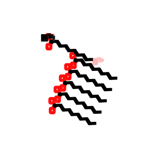 CCCCCCCCCC(=O)[O-].CCCCCCCCCC(=O)[O-].CCCCCCCCCC(=O)[O-].CCCCCCCCCC(=O)[O-].CCCCCCCCCC(=O)[O-].CCCCCCCCCC(=O)[O-].[B+3].[Bi+3]